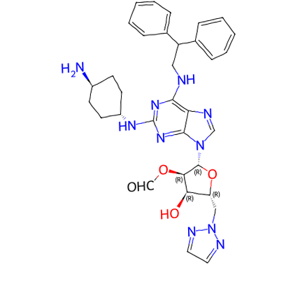 N[C@H]1CC[C@H](Nc2nc(NCC(c3ccccc3)c3ccccc3)c3ncn([C@@H]4O[C@H](Cn5nccn5)[C@@H](O)[C@H]4OC=O)c3n2)CC1